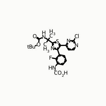 CC(C)(C)OC(=O)NC(C)(C)c1nc(-c2cccc(NC(=O)O)c2F)c(-c2ccnc(Cl)n2)s1